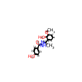 COc1cccc(/C(C)=N/NC(=O)c2ccc(O)cc2)c1O